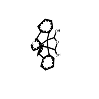 OC1OC(O)C2(c3ccccc3-c3ccccc32)C12c1ccccc1-c1ccccc12